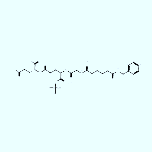 CC(C)(C)OC(=O)C(CCC(=O)N[C@@H](CCC(=O)O)C(=O)O)NC(=O)CNC(=O)CCCCC(=O)OCc1ccccc1